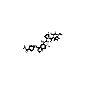 CCN(CC)[C@@H](C)C(N)[C@@H](C(=O)N1CCC[C@H]1C(=O)Nc1cc2c(Nc3ccc(C(=O)NC)cc3)ncnc2cc1OC)C(C)(C)C